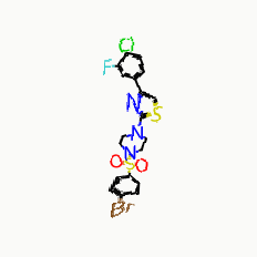 O=S(=O)(c1ccc(Br)cc1)N1CCN(c2nc(-c3ccc(Cl)c(F)c3)cs2)CC1